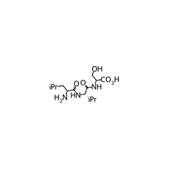 CC(C)C[C@H](N)C(=O)N[C@H](C(=O)N[C@@H](CO)C(=O)O)C(C)C